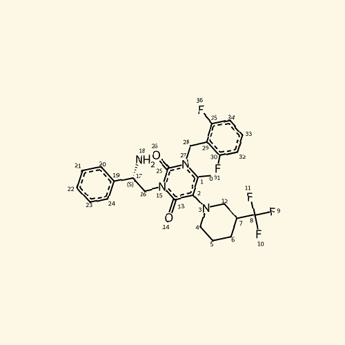 Cc1c(N2CCCC(C(F)(F)F)C2)c(=O)n(C[C@@H](N)c2ccccc2)c(=O)n1Cc1c(F)cccc1F